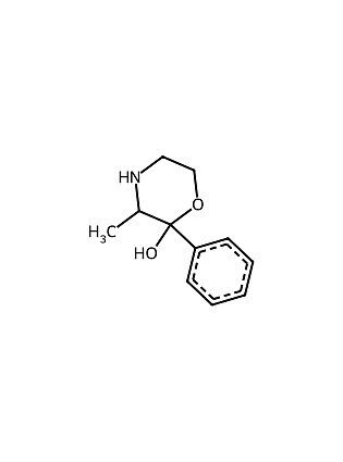 CC1NCCOC1(O)c1ccccc1